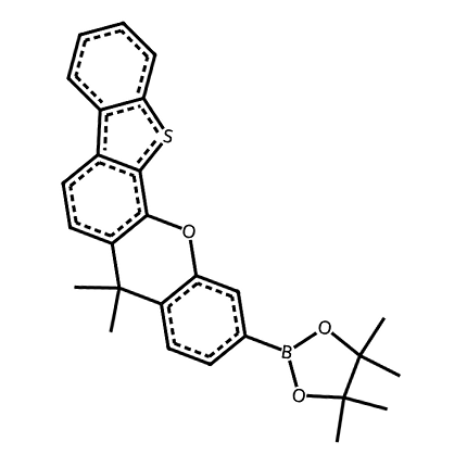 CC1(C)c2ccc(B3OC(C)(C)C(C)(C)O3)cc2Oc2c1ccc1c2sc2ccccc21